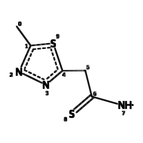 Cc1nnc(CC([NH])=S)s1